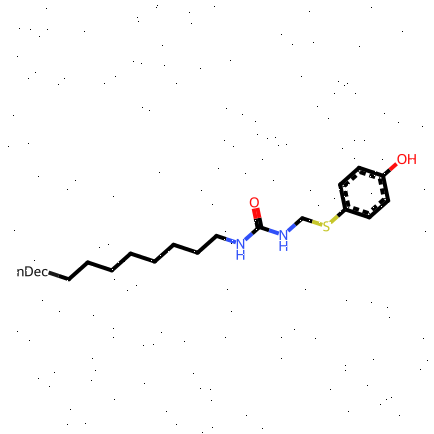 CCCCCCCCCCCCCCCCCCNC(=O)NCSc1ccc(O)cc1